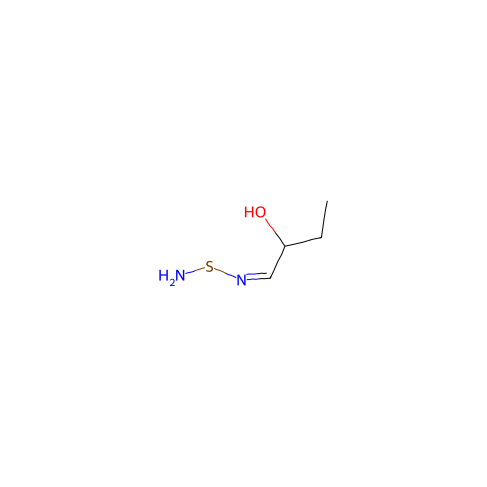 CCC(O)/C=N\SN